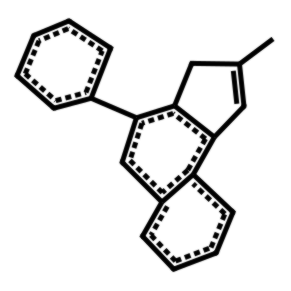 CC1=Cc2c(c(-c3ccccc3)cc3ccccc23)C1